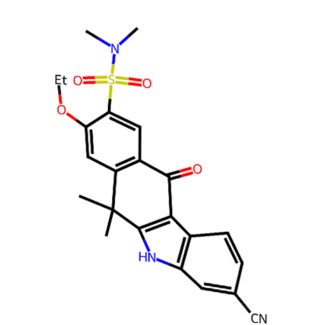 CCOc1cc2c(cc1S(=O)(=O)N(C)C)C(=O)c1c([nH]c3cc(C#N)ccc13)C2(C)C